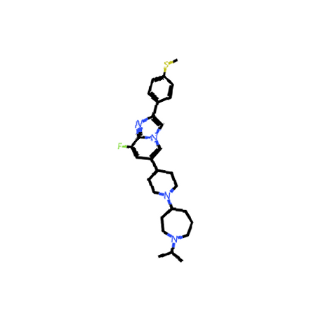 CSc1ccc(-c2cn3cc(C4CCN(C5CCCN(C(C)C)CC5)CC4)cc(F)c3n2)cc1